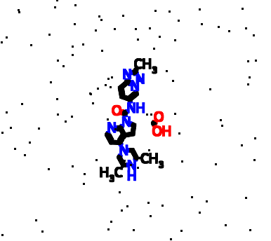 Cc1nc2ccc(NC(=O)N3CCc4c(N5C[C@@H](C)N[C@@H](C)C5)ccnc43)cn2n1.O=CO